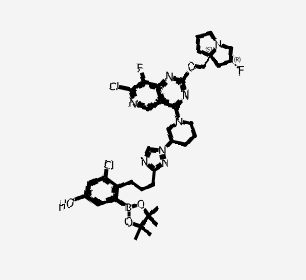 CC1(C)OB(c2cc(O)cc(Cl)c2CCCc2ncn(C3CCCN(c4nc(OC[C@@]56CCCN5C[C@H](F)C6)nc5c(F)c(Cl)ncc45)C3)n2)OC1(C)C